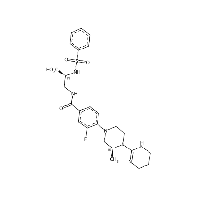 C[C@H]1CN(c2ccc(C(=O)NC[C@H](NS(=O)(=O)c3ccccc3)C(=O)O)cc2F)CCN1C1=NCCCN1